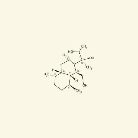 CC(O)[C@@](C)(O)C1[C@@H](CO)[C@H]2[C@@H](C[C@@H]1C)[C@@H](C)CC[C@@H]2C